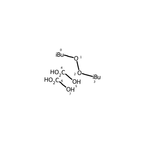 CCC(C)OOC(C)CC.O=C(O)O.O=C(O)O